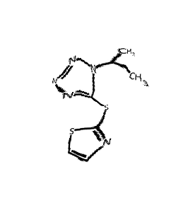 CC(C)n1nnnc1Sc1nccs1